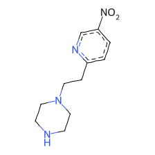 O=[N+]([O-])c1ccc(CCN2CCNCC2)nc1